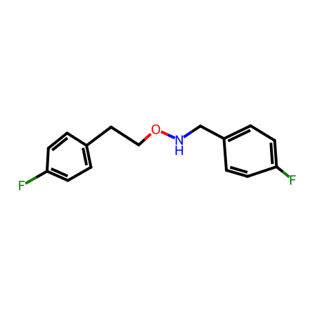 Fc1ccc(CCONCc2ccc(F)cc2)cc1